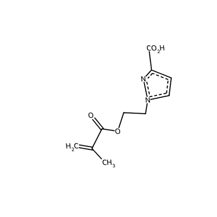 C=C(C)C(=O)OCCn1ccc(C(=O)O)n1